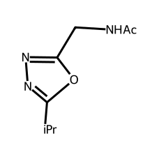 CC(=O)NCc1nnc(C(C)C)o1